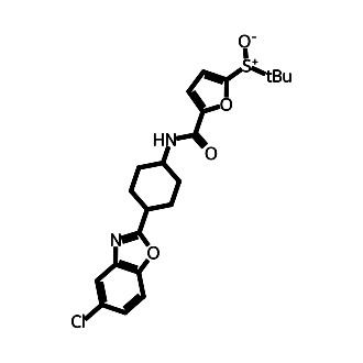 CC(C)(C)[S+]([O-])c1ccc(C(=O)NC2CCC(c3nc4cc(Cl)ccc4o3)CC2)o1